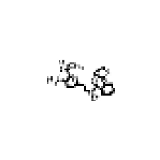 C=C(C)c1nc(CCN(CC)C(=O)c2ccccc2-n2nccn2)ccc1C